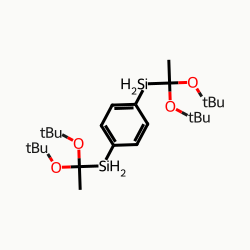 CC(C)(C)OC(C)(OC(C)(C)C)[SiH2]c1ccc([SiH2]C(C)(OC(C)(C)C)OC(C)(C)C)cc1